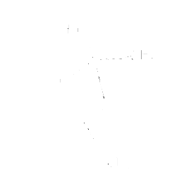 C/N=C/S(C)(C)C